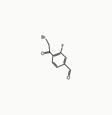 O=Cc1ccc(C(=O)CBr)c(F)c1